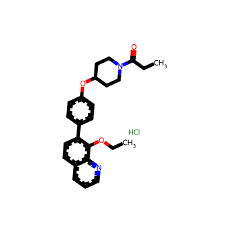 CCOc1c(-c2ccc(OC3CCN(C(=O)CC)CC3)cc2)ccc2cccnc12.Cl